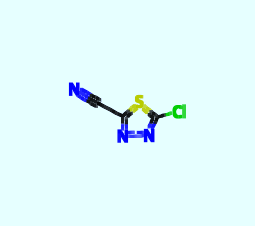 N#Cc1nnc(Cl)s1